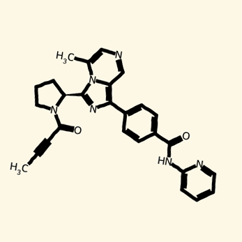 CC#CC(=O)N1CCC[C@H]1c1nc(-c2ccc(C(=O)Nc3ccccn3)cc2)c2cncc(C)n12